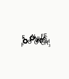 CCN(C[C@@H](O)C(F)(F)F)C(=O)Nc1cc(Oc2cc(F)cc(F)c2)ccn1